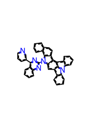 c1cncc(-c2nc(-n3c4cc5c6ccccc6n6c7ccccc7c(c4c4ccc7ccccc7c43)c56)nc3ccccc23)c1